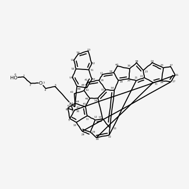 OCCOCCN1CC2C3=c4c5c6c7c8c9c(cc%10c%11c%12c%13c%14c(cc%15c%16c(c4c6c(c%16%14)c%13c7c%119)=C(C3)C%15)=CC%12C%10)=CC3CC2(C=5C83)C1c1ccc2ccccc2c1